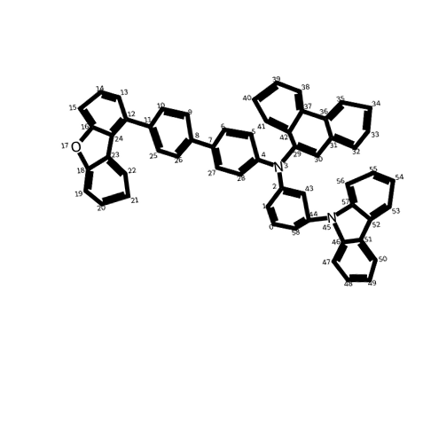 c1cc(N(c2ccc(-c3ccc(-c4cccc5oc6ccccc6c45)cc3)cc2)c2cc3ccccc3c3ccccc23)cc(-n2c3ccccc3c3ccccc32)c1